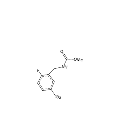 CCC(C)c1ccc(F)c(CNC(=O)OC)c1